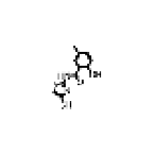 Cc1ccc(O)c(C(=O)Nc2nc(S)cs2)c1